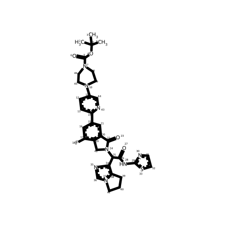 CC(C)(C)OC(=O)N1CCN(c2ccc(-c3cc(F)c4c(c3)C(=O)N(C(C(=O)Nc3nccs3)c3ncn5c3CCC5)C4)nc2)CC1